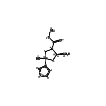 CC(C)(C)OC(=O)N1C[C@@](O)(c2cccs2)C[C@@H]1C(=O)O